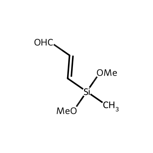 CO[Si](C)(C=CC=O)OC